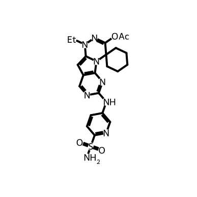 CCN1N=C(OC(C)=O)C2(CCCCC2)n2c1cc1cnc(Nc3ccc(S(N)(=O)=O)nc3)nc12